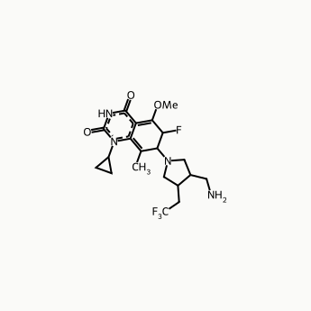 COC1=c2c(=O)[nH]c(=O)n(C3CC3)c2=C(C)C(N2CC(CN)C(CC(F)(F)F)C2)C1F